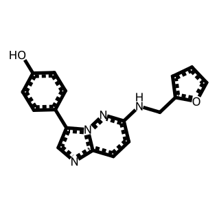 Oc1ccc(-c2cnc3ccc(NCc4ccco4)nn23)cc1